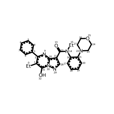 CCc1c(-c2ccccc2)nc2c(C(=O)N(CC)c3ccccc3N3CCOCC3)cnn2c1O